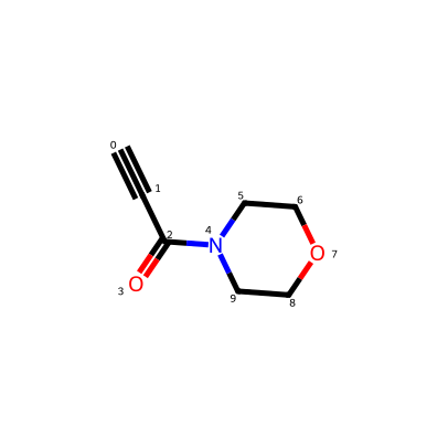 C#CC(=O)N1CCOCC1